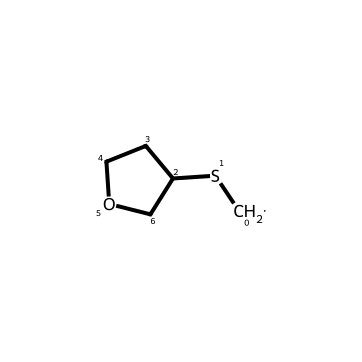 [CH2]SC1CCOC1